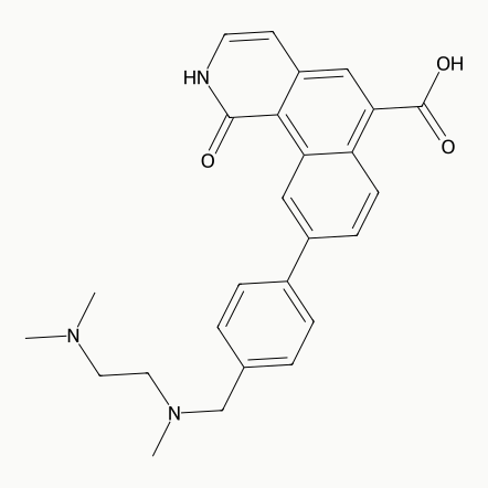 CN(C)CCN(C)Cc1ccc(-c2ccc3c(C(=O)O)cc4cc[nH]c(=O)c4c3c2)cc1